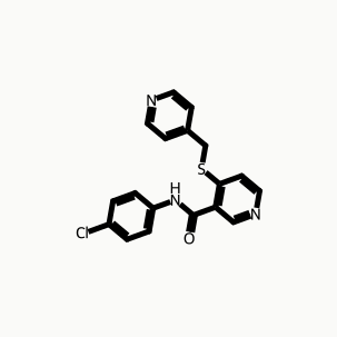 O=C(Nc1ccc(Cl)cc1)c1cnccc1SCc1ccncc1